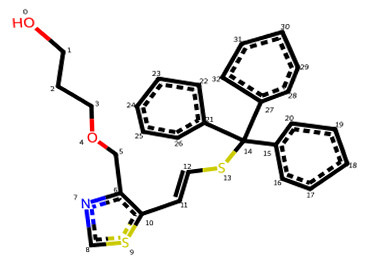 OCCCOCc1ncsc1C=CSC(c1ccccc1)(c1ccccc1)c1ccccc1